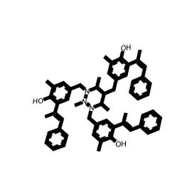 CC(=Cc1ccccc1)c1cc(CC2C(C)N(Cc3cc(C)c(O)c(C(C)=Cc4ccccc4)c3)N(C)N(Cc3cc(C)c(O)c(C(C)=Cc4ccccc4)c3)C2C)cc(C)c1O